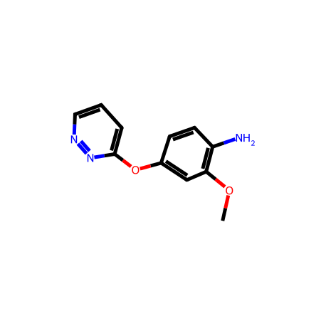 COc1cc(Oc2cccnn2)ccc1N